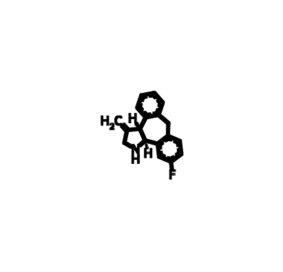 C=C1CN[C@@H]2c3cc(F)ccc3Cc3ccccc3[C@@H]12